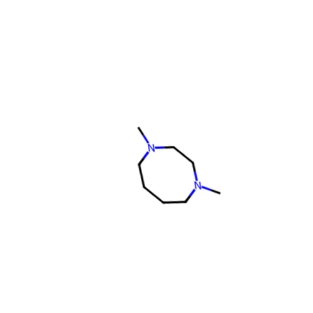 CN1CCCCN(C)CC1